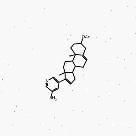 Bc1cncc(C2=CCC3C4CC=C5CC(OC(C)=O)CCC5(C)C4CCC23C)c1